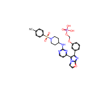 N#Cc1ccc(S(=O)(=O)N2CCC(Nc3nccc(-c4c(-c5cccc(OCOP(=O)(O)O)c5)nc5occn45)n3)CC2)cc1